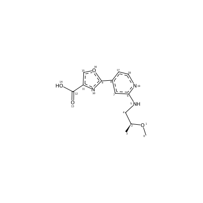 CO[C@@H](C)CNc1cc(-c2nc(C(=O)O)co2)ccn1